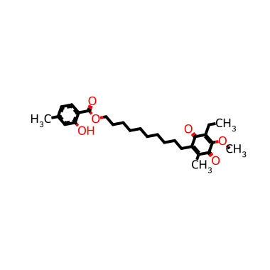 CCC1=C(OC)C(=O)C(C)=C(CCCCCCCCCCOC(=O)c2ccc(C)cc2O)C1=O